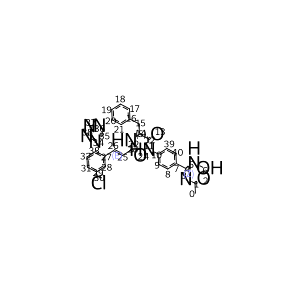 CC(=O)/N=C(\NO)c1ccc(NC(=O)[C@H](Cc2ccccc2)NC(=O)/C=C/c2cc(Cl)ccc2-n2cnnn2)cc1